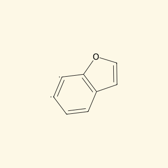 [c]1[c]c2occc2cc1